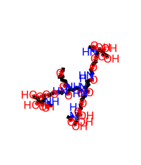 CCOC(C)(C)CCC(=O)NC(CCC(=O)NC(CCC(=O)NCCOCCOC1OC(CO)C(O)C(O)C1NC(C)=O)C(=O)NCCOCCOC(O)/C(NC(C)=O)=C(\O)CO)C(=O)NCCOCCOC1OC(CO)C(O)C(O)C1NC(C)=O